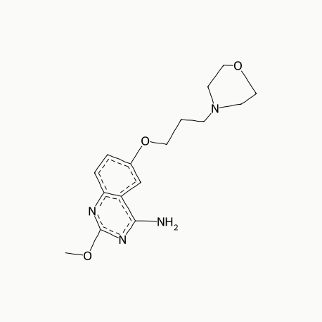 COc1nc(N)c2cc(OCCCN3CCOCC3)ccc2n1